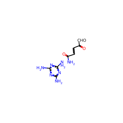 NC(=O)C=CC(=O)C=O.Nc1nc(N)nc(N)n1